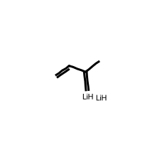 C=CC(=C)C.[LiH].[LiH]